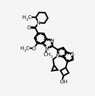 COc1cc(C(=O)N2CCCCC2C)cc2nc(-c3cc4scc(C5CC(O)C5)c4n3CC3CC3)n(C)c12